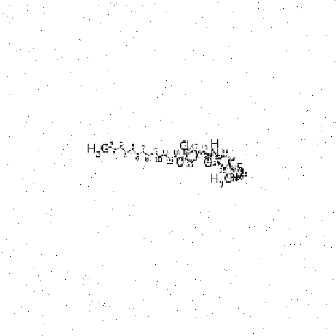 CCCCCCCCCCCCCCOc1ccc(CC(=O)Nc2ccc(-c3scc[n+]3C)cc2)cc1.[Cl-]